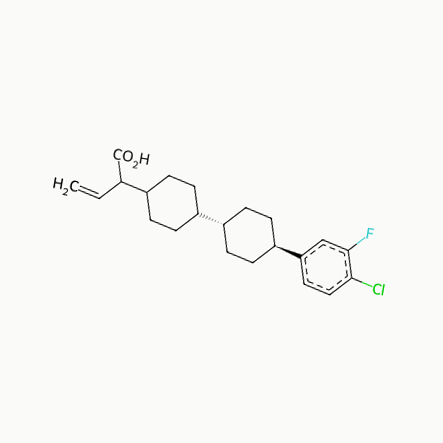 C=CC(C(=O)O)C1CCC([C@H]2CC[C@H](c3ccc(Cl)c(F)c3)CC2)CC1